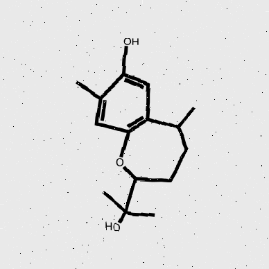 Cc1cc2c(cc1O)C(C)CCC(C(C)(C)O)O2